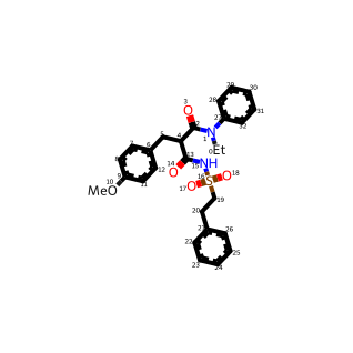 CCN(C(=O)C(Cc1ccc(OC)cc1)C(=O)NS(=O)(=O)CCc1ccccc1)c1ccccc1